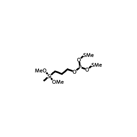 CO[Si](C)(CCCOP(OSC)OSC)OC